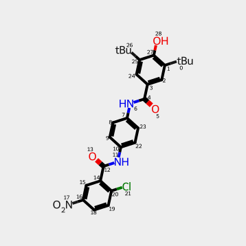 CC(C)(C)c1cc(C(=O)Nc2ccc(NC(=O)c3cc([N+](=O)[O-])ccc3Cl)cc2)cc(C(C)(C)C)c1O